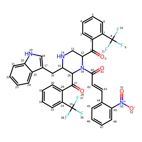 O=C(c1ccccc1C(F)(F)F)C1CNC(Cc2c[nH]c3ccccc23)C(C(=O)c2ccccc2C(F)(F)F)N1C(=O)/C=C/c1ccccc1[N+](=O)[O-]